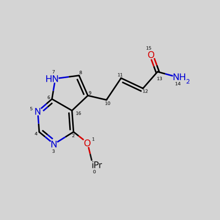 CC(C)Oc1ncnc2[nH]cc(CC=CC(N)=O)c12